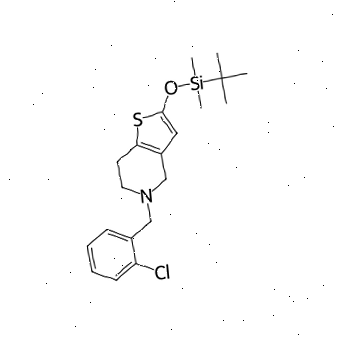 CC(C)(C)[Si](C)(C)Oc1cc2c(s1)CCN(Cc1ccccc1Cl)C2